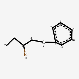 CCC(Br)CCc1c[c]ccc1